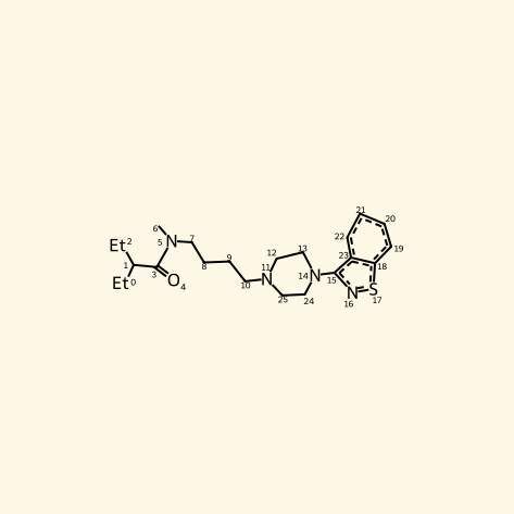 CCC(CC)C(=O)N(C)CCCCN1CCN(c2nsc3ccccc23)CC1